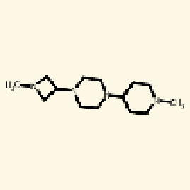 CN1CCC(N2CCN(C3CN(C)C3)CC2)CC1